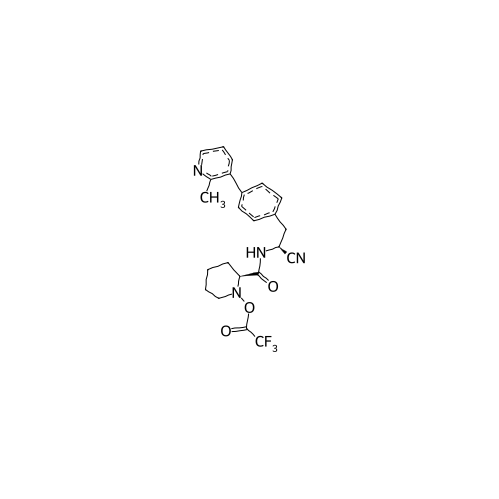 Cc1ncccc1-c1ccc(C[C@@H](C#N)NC(=O)[C@@H]2CCCCN2OC(=O)C(F)(F)F)cc1